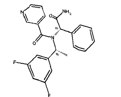 C[C@H](c1cc(F)cc(F)c1)N(C(=O)c1cccnc1)[C@H](C(N)=O)c1ccccc1